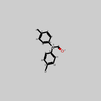 Cc1cc[c]([Al]([CH]=O)[c]2ccc(C)cc2)cc1